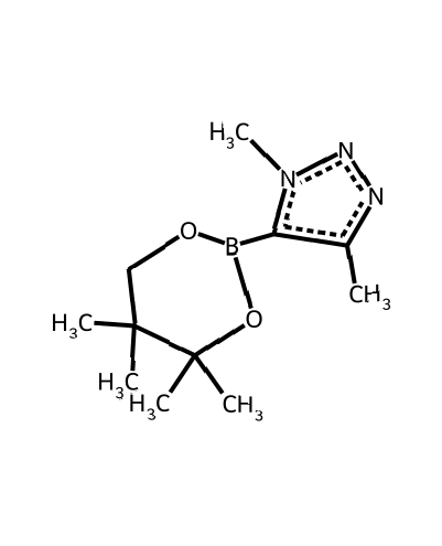 Cc1nnn(C)c1B1OCC(C)(C)C(C)(C)O1